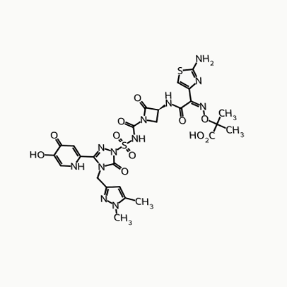 Cc1cc(Cn2c(-c3cc(=O)c(O)c[nH]3)nn(S(=O)(=O)NC(=O)N3C[C@H](NC(=O)/C(=N\OC(C)(C)C(=O)O)c4csc(N)n4)C3=O)c2=O)nn1C